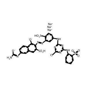 NC([O-])=Nc1ccc2c([O-])c(N=Nc3cc(Nc4nc(Cl)nc(Nc5ccccc5S(=O)(=O)[O-])n4)ccc3S(=O)(=O)O)c(S(=O)(=O)O)cc2c1.[Na+].[Na+].[Na+]